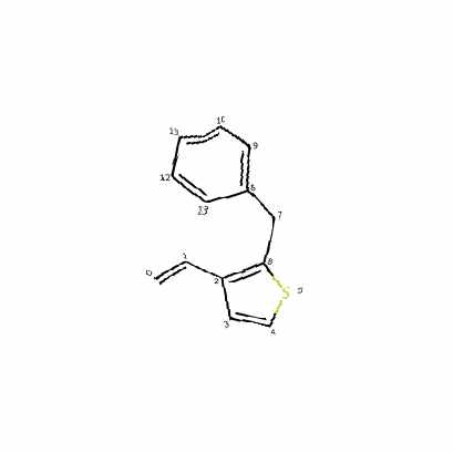 C=Cc1ccsc1Cc1ccccc1